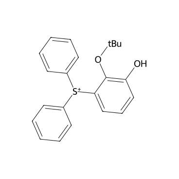 CC(C)(C)Oc1c(O)cccc1[S+](c1ccccc1)c1ccccc1